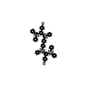 N#Cc1ccc(-c2cc(-c3cc(-c4ccccc4)nc(-c4ccccc4)n3)cc(-c3cc(-c4ccc(-c5ccc(-c6nc(-c7ccccc7)nc(-c7cc(-c8ccc(C#N)cc8)cc(-c8nc(-c9ccccc9)nc(-c9ccccc9)n8)c7)n6)cc5)cc4)nc(-c4ccccc4)n3)c2)cc1